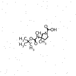 CN(C(=O)OC(C)(C)C)[C@@]1(C)CCN(C(=O)O)C1